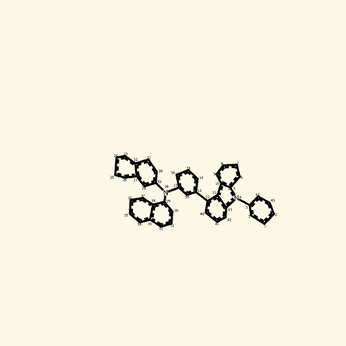 c1ccc(-n2c3ccccc3c3c(-c4cccc(N(c5ccc6ccccc6c5)c5cccc6ccccc56)c4)cccc32)cc1